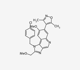 COCc1nc2cnc3cc(-c4c(C)noc4C)c(OC)cc3c2n1Cc1ccc(Cl)cc1